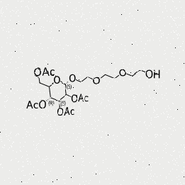 CC(=O)OCC1O[C@H](OCCOCCOCCO)C(OC(C)=O)[C@@H](OC(C)=O)[C@@H]1OC(C)=O